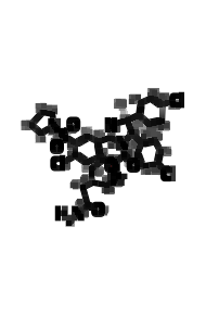 CC(C)Oc1cc(Cl)c(S(=O)(=O)N2CCCC2)cc1C1=N[C@@](C)(c2ccc(Cl)cc2)[C@@](C)(c2ccc(Cl)cc2)N1C(=O)N1CCC(CC(N)=O)CC1